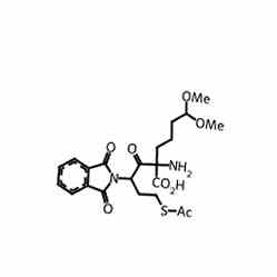 COC(CCCC(N)(C(=O)O)C(=O)C(CCSC(C)=O)N1C(=O)c2ccccc2C1=O)OC